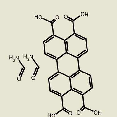 NC=O.NC=O.O=C(O)c1ccc2c3ccc(C(=O)O)c4c(C(=O)O)ccc(c5ccc(C(=O)O)c1c25)c43